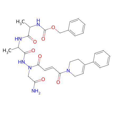 CC(NC(=O)OCc1ccccc1)C(=O)NC(C)C(=O)NN(CC(N)=O)C(=O)/C=C/C(=O)N1CC=C(c2ccccc2)CC1